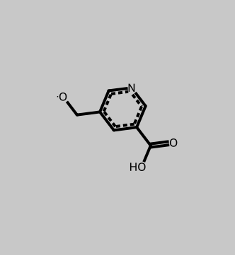 [O]Cc1cncc(C(=O)O)c1